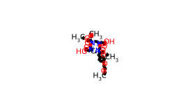 CCOCCOc1ccc(CC(C(=O)OCC)N2CCN(CC(=O)O)CCN([C@@H](COC)C(=O)OCC)CCN(CC(=O)O)CC2)cc1